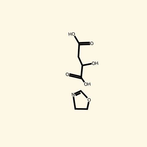 C1=NCCO1.O=C(O)CC(O)C(=O)O